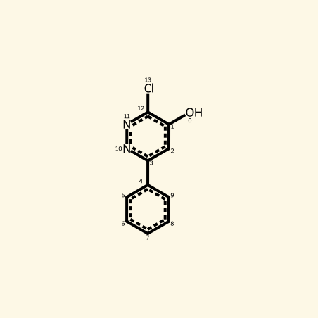 Oc1cc(-c2ccccc2)nnc1Cl